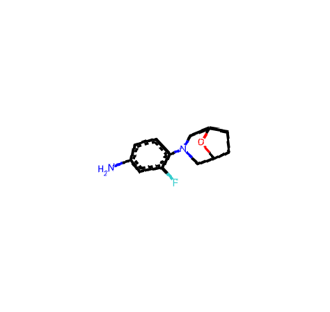 Nc1ccc(N2CC3CCC(C2)O3)c(F)c1